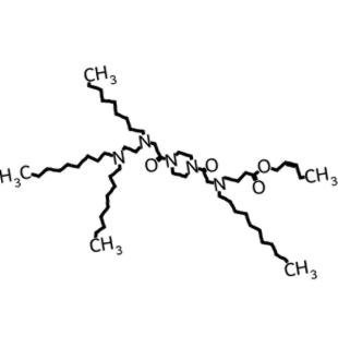 CC/C=C\COC(=O)CCCN(CCCCCCCCCCC)CC(=O)N1CCN(C(=O)CN(CCCCCCCCC)CCN(CCCCCCCCC)CCCCCCCCC)CC1